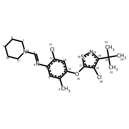 Cc1cc(N=CN2CCCCC2)c(Cl)cc1Oc1snc(C(C)(C)C)c1Cl